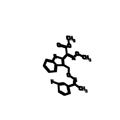 CON=C(C(=O)OC)c1sc2ccccc2c1CON=C(C)c1cccc(F)c1